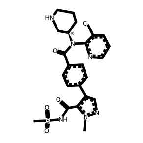 Cn1ncc(-c2ccc(C(=O)N(c3ncccc3Cl)[C@@H]3CCCNC3)cc2)c1C(=O)NS(C)(=O)=O